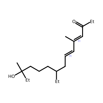 CCC(=O)/C=C(C)/C=C/CC(CC)CCCC(C)(O)CC